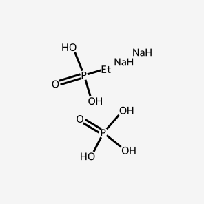 CCP(=O)(O)O.O=P(O)(O)O.[NaH].[NaH]